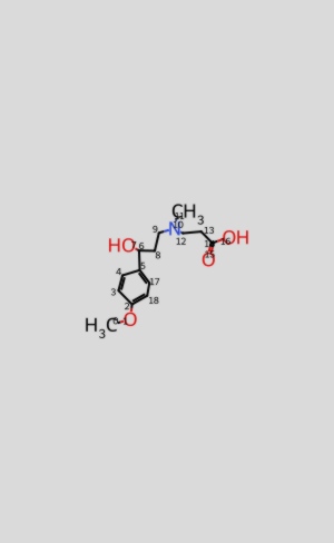 COc1ccc(C(O)CCN(C)CCC(=O)O)cc1